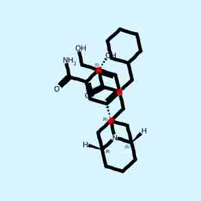 NC(=O)c1cccc([C@H]2C[C@H]3CCC[C@@H](C2)N3CCN(CC2CCCCC2)C(=O)[C@@H](O)CO)c1